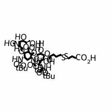 CC(C)(C)OC(=O)NCC1O[C@H](OC2C(CO)[C@@H](OC3O[C@H](CO)C(O)C4[C@H]3N4O)[C@@H](NC(=O)OC(C)(C)C)C[C@@H]2NC(=O)OC(C)(C)C)C(O)C(OC(=O)CCCSSCCCC(=O)O)[C@@H]1O